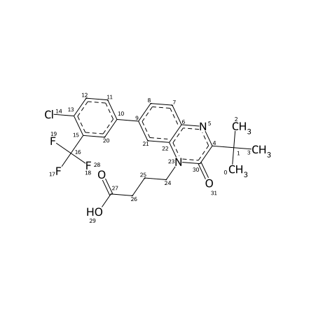 CC(C)(C)c1nc2ccc(-c3ccc(Cl)c(C(F)(F)F)c3)cc2n(CCCC(=O)O)c1=O